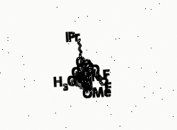 COC1=NO[C@@]2(CC[C@H](C)N3C[C@H]2n2cc(C(=O)NCc4ccc(F)cc4F)c(=O)c(OC(=O)OCCCCCCCC(C)C)c2C3=O)C1